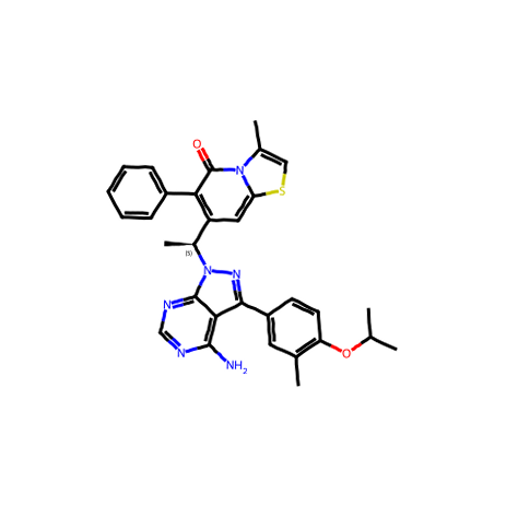 Cc1cc(-c2nn([C@@H](C)c3cc4scc(C)n4c(=O)c3-c3ccccc3)c3ncnc(N)c23)ccc1OC(C)C